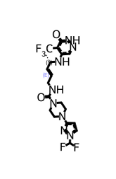 C[C@@H](/C=C/CNC(=O)N1CCN(c2ccn(C(F)F)n2)CC1)Nc1cn[nH]c(=O)c1C(F)(F)F